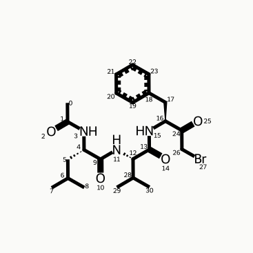 CC(=O)N[C@@H](CC(C)C)C(=O)N[C@H](C(=O)N[C@@H](Cc1ccccc1)C(=O)CBr)C(C)C